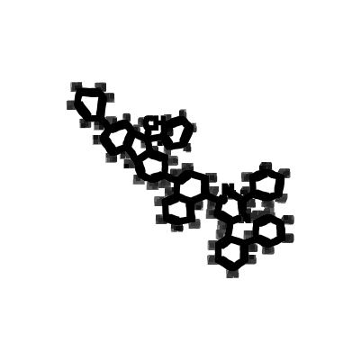 CC1(c2ccccc2)c2cc(-c3ccccc3)ccc2-c2ccc(-c3ccc(-c4cc(-c5ccccc5-c5ccccc5)nc(-c5ccccc5)n4)c4ccccc34)cc21